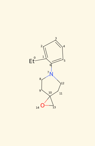 CCc1ccccc1N1CCC2(CC1)CO2